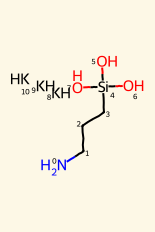 NCCC[Si](O)(O)O.[KH].[KH].[KH]